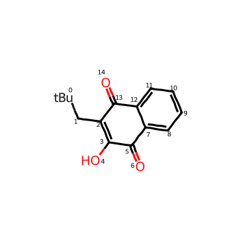 CC(C)(C)CC1=C(O)C(=O)c2ccccc2C1=O